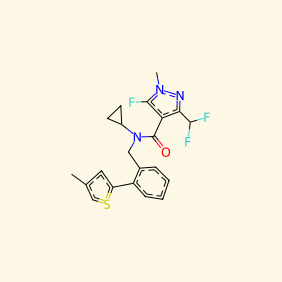 Cc1csc(-c2ccccc2CN(C(=O)c2c(C(F)F)nn(C)c2F)C2CC2)c1